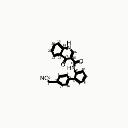 N#CCc1ccc(-c2ccccc2NC(=O)c2c[nH]c3ccccc3c2=O)cc1